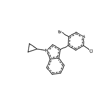 Clc1cc(-c2cn(C3CC3)c3ccccc23)c(Br)cn1